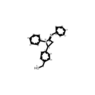 OCc1ccc(C2CC(=Nc3ccccc3)N2c2ccccc2)cc1